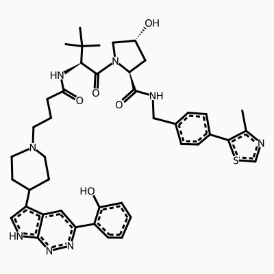 Cc1ncsc1-c1ccc(CNC(=O)[C@@H]2C[C@@H](O)CN2C(=O)[C@@H](NC(=O)CCCN2CCC(c3c[nH]c4nnc(-c5ccccc5O)cc34)CC2)C(C)(C)C)cc1